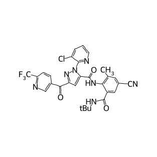 Cc1cc(C#N)cc(C(=O)NC(C)(C)C)c1NC(=O)c1cc(C(=O)c2ccc(C(F)(F)F)nc2)nn1-c1ncccc1Cl